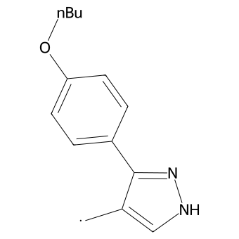 [CH2]c1c[nH]nc1-c1ccc(OCCCC)cc1